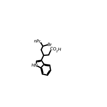 CCCC(Br)CC(CC(=O)O)c1c[nH]c2ccccc12